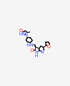 Cc1cc(=O)[nH]n1-c1ccc(NC=C2C(=O)Nc3ncc(-c4ccco4)cc32)cc1